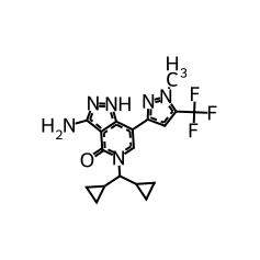 Cn1nc(-c2cn(C(C3CC3)C3CC3)c(=O)c3c(N)n[nH]c23)cc1C(F)(F)F